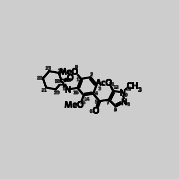 COc1ccc(C(=O)c2cnn(C)c2OC(C)=O)c(OC)c1N=S1(=O)CCCCC1